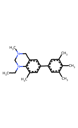 CCN1CN(C)Cc2cc(-c3cc(C)c(C)c(C)c3)cc(C)c21